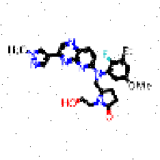 CCc1cc(OC)cc(N(CC2CCC(=O)N2CCO)c2ccc3ncc(-c4cnn(C)c4)nc3n2)c1F